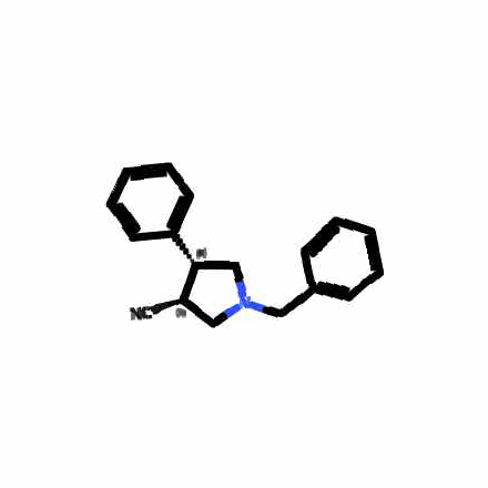 N#C[C@@H]1CN(Cc2ccccc2)C[C@H]1c1ccccc1